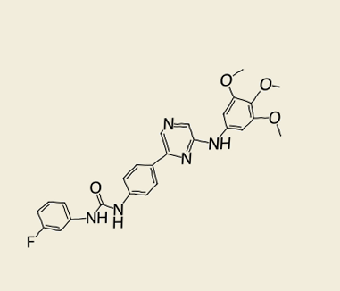 COc1cc(Nc2cncc(-c3ccc(NC(=O)Nc4cccc(F)c4)cc3)n2)cc(OC)c1OC